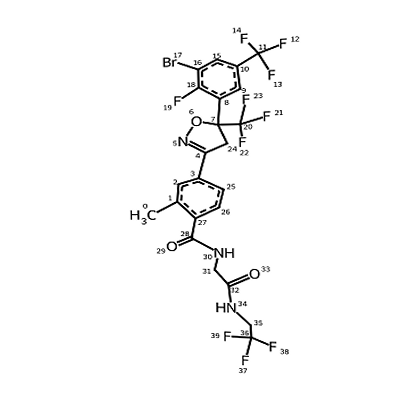 Cc1cc(C2=NOC(c3cc(C(F)(F)F)cc(Br)c3F)(C(F)(F)F)C2)ccc1C(=O)NCC(=O)NCC(F)(F)F